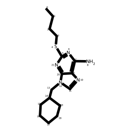 CCCCSc1nc(N)c2ncn(CC3CCCCC3)c2n1